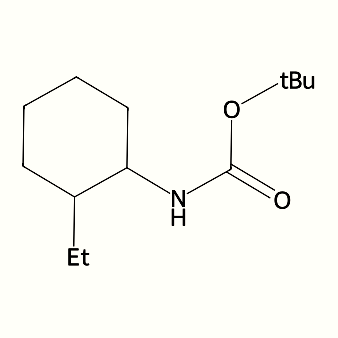 CCC1CCCCC1NC(=O)OC(C)(C)C